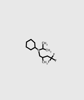 CC(CN(C(C)C)C1CCCCC1)CC(F)(F)F